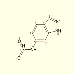 O=[SH](=O)Nc1ccc2cn[nH]c2c1